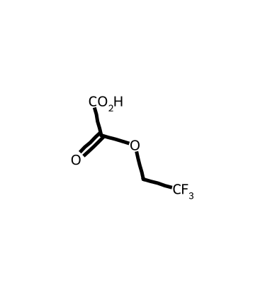 O=C(O)C(=O)OCC(F)(F)F